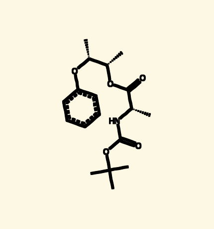 C[C@H](NC(=O)OC(C)(C)C)C(=O)O[C@@H](C)[C@@H](C)Oc1ccccc1